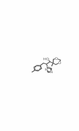 Cc1ccc(CC(C(O)C2(C)COCOC2)n2cncn2)cc1